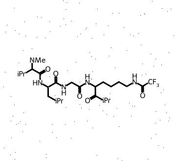 CNC(C(=O)NC(CC(C)C)C(=O)NCC(=O)NC(CCCCNC(=O)C(F)(F)F)C(=O)C(C)C)C(C)C